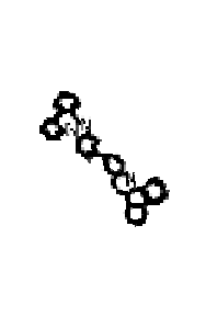 c1ccc(C2=Nc3ccc(-c4ccc5c(c4)nc4c6ccccc6c6ccccc6n54)cc3CCC2c2ccccc2)cc1